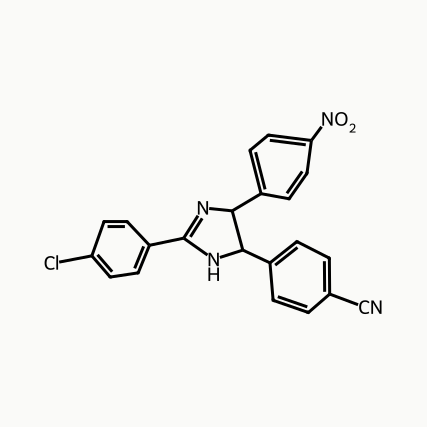 N#Cc1ccc(C2NC(c3ccc(Cl)cc3)=NC2c2ccc([N+](=O)[O-])cc2)cc1